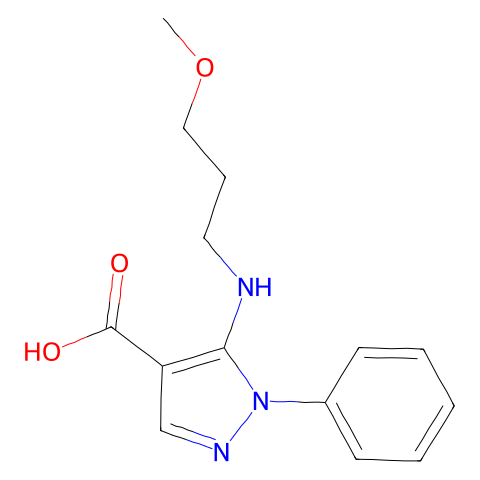 COCCCNc1c(C(=O)O)cnn1-c1ccccc1